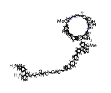 CO[C@H]1C[C@@H]2CC[C@@H](C)[C@@](O)(O2)C(=O)C(=O)N2CCCC[C@H]2C(=O)O[C@H]([C@H](N)C[C@@H]2CC[C@H](n3nncc3-c3cccc(-c4cnc(N5CCN(Cc6cn(CCOCCOCCOCCC(=O)NCCCCn7nc(-c8ccc9oc(N)nc9c8)c8c(N)ncnc87)nn6)CC5)nc4)c3)[C@H](OC)C2)CC(=O)[C@H](C)/C=C(\C)[C@@H](O)[C@@H](O)C(=O)[C@H](C)C[C@H](C)/C=C/C=C/C=C/1C